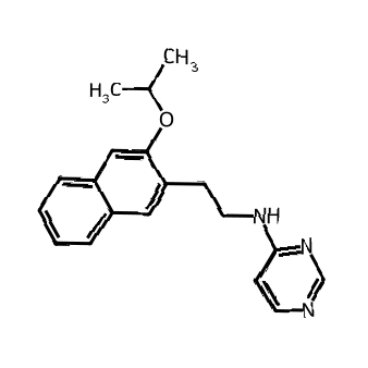 CC(C)Oc1cc2ccccc2cc1CCNc1ccncn1